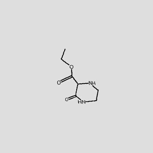 CCOC(=O)C1NCCNC1=O